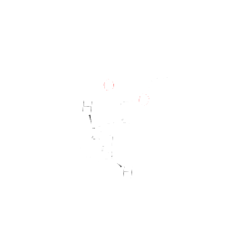 CCOC(=O)[C@@H]1C[C@@H]2C=C[C@H]1C2